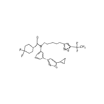 CC(F)(F)c1nc(CCCCCN(C(=O)C2CCC(F)(F)CC2)c2cccc(-c3cc(C4CC4)on3)c2)no1